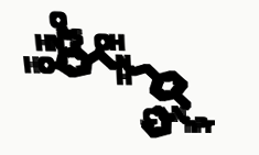 CCCN(Cc1ccc(CCNCC(O)c2ccc(O)c3[nH]c(=O)sc23)cc1)c1ccccc1